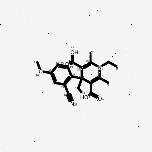 CCN1C(C)=C(C(=O)O)C(CC)(c2ccc(OC)cc2C#N)C(C(=O)O)=C1C